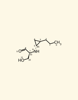 CCCC1C[C@H]1N[C@H](C=O)CO